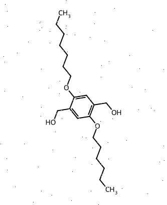 CCCCCCCOc1cc(CO)c(OCCCCCC)cc1CO